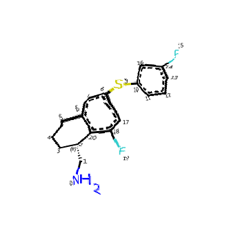 NC[C@@H]1CCCc2cc(Sc3cccc(F)c3)cc(F)c21